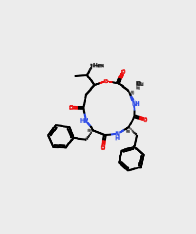 CCCCCCC(C)C1CC(=O)N[C@@H](Cc2ccccc2)C(=O)N[C@@H](Cc2ccccc2)C(=O)N[C@H]([C@H](C)CC)C(=O)O1